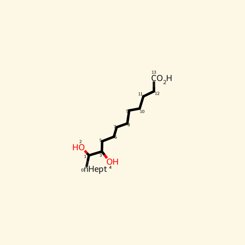 CCCCCCCC(O)C(O)CCCCCCCCC(=O)O